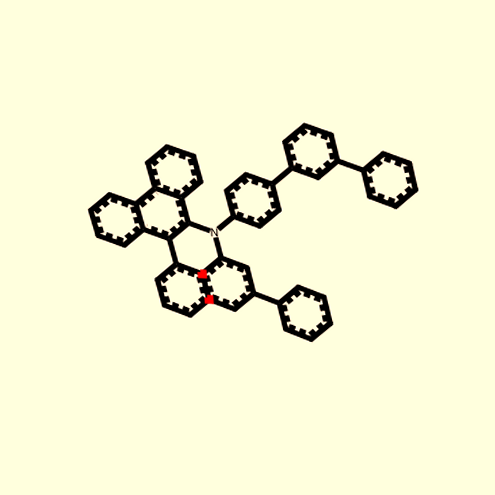 c1ccc(-c2cccc(-c3ccc(N(c4cccc(-c5ccccc5)c4)c4c(-c5ccccc5)c5ccccc5c5ccccc45)cc3)c2)cc1